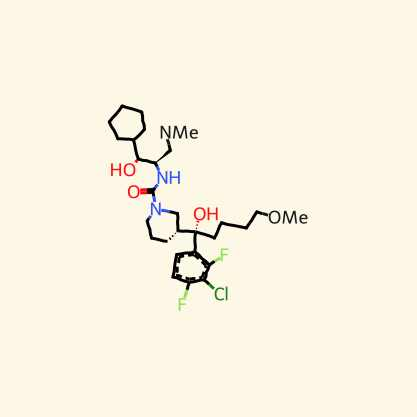 CNC[C@@H](NC(=O)N1CCC[C@@H]([C@@](O)(CCCCOC)c2ccc(F)c(Cl)c2F)C1)[C@@H](O)C1CCCCC1